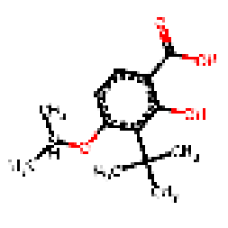 C[SiH](C)Oc1ccc(C(=O)O)c(O)c1C(C)(C)C